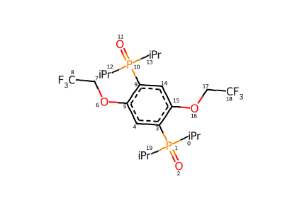 CC(C)P(=O)(c1cc(OCC(F)(F)F)c(P(=O)(C(C)C)C(C)C)cc1OCC(F)(F)F)C(C)C